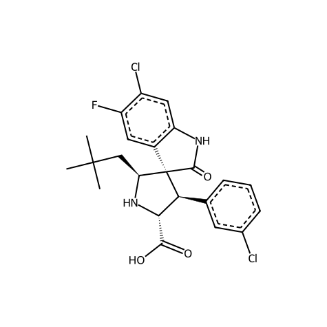 CC(C)(C)C[C@@H]1N[C@@H](C(=O)O)[C@H](c2cccc(Cl)c2)[C@]12C(=O)Nc1cc(Cl)c(F)cc12